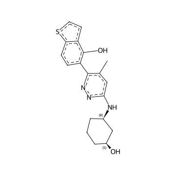 Cc1cc(N[C@@H]2CCC[C@H](O)C2)nnc1-c1ccc2sccc2c1O